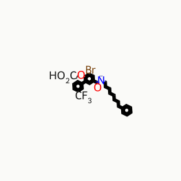 CN(CCCCCCCCc1ccccc1)C(=O)c1cc(Br)c(OCC(=O)O)c(-c2cccc(C(F)(F)F)c2)c1